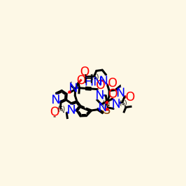 CCn1c(-c2cccnc2[C@H](C)OC)c2c3cc(ccc31)-c1csc(n1)CC(C1CN1C(=O)[C@H](C(C)C)N1CC[C@]3(CCN(C(=O)C#CC(C)(C)N(C)C)C3)C1=O)C(=O)N1CCC[C@H](N1)C(=O)OCC(C)(C)C2